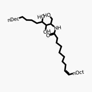 CCCCCCCC/C=C\CCCCCCCC(=O)NC(CO)C(O)C(O)CCCCCCCCCCCCCC